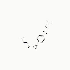 CN(C)/C=C/C(=O)[C@@H]1C[C@H]1c1ccc(S(=O)(=O)/N=C/N(C)C)cc1